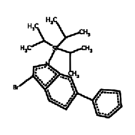 CC(C)[Si](C(C)C)(C(C)C)n1cc(Br)c2ccc(-c3ccccc3)cc21